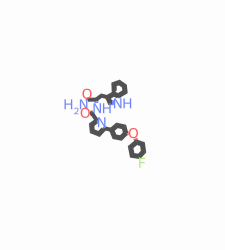 NC(=O)C(Cc1c[nH]c2ccccc12)NC(=O)c1cccc(-c2ccc(Oc3ccc(F)cc3)cc2)n1